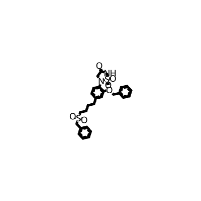 O=C1CN(c2ccc(CCCCS(=O)(=O)Cc3ccccc3)cc2OCc2ccccc2)S(=O)(=O)N1